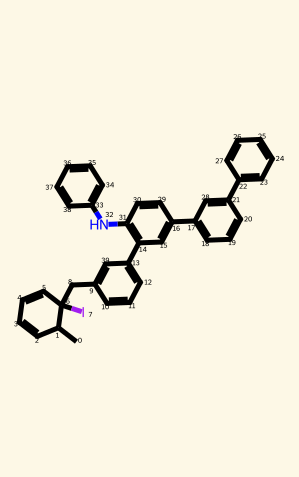 CC1C=CC=CC1(I)Cc1cccc(-c2cc(-c3cccc(-c4ccccc4)c3)ccc2Nc2ccccc2)c1